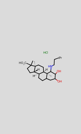 CC(C)CCNC1C(O)C(O)CC2CC[C@@H]3[C@@H](CC[C@@]4(C)[C@H]3CCC4(C)C(=O)O)[C@]21C.Cl